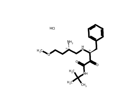 COCC[C@H](N)CN[C@@H](Cc1ccccc1)C(=O)C(=O)NC(C)(C)C.Cl